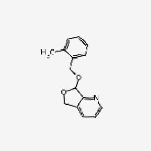 Cc1ccccc1COC1OCc2cccnc21